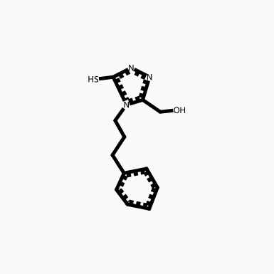 OCc1nnc(S)n1CCCc1ccccc1